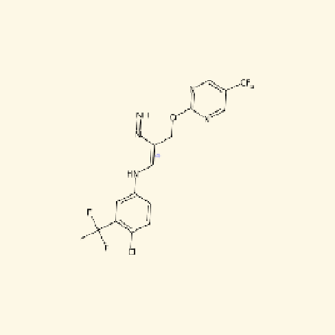 CC(F)(F)c1cc(N/C=C(/COc2ncc(C(F)(F)F)cn2)N=N)ccc1Cl